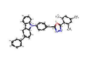 Cc1cc(C)c(-c2nnc(-c3ccc(-n4c5ccccc5c5cc(-c6ccccc6)ccc54)cc3)o2)c(C)c1